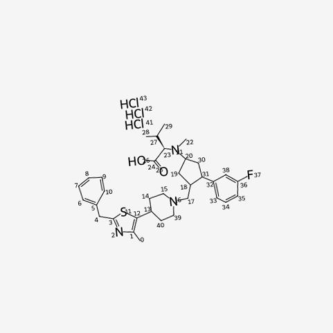 Cc1nc(Cc2ccccc2)sc1C1CCN(CC2CC(N(C)[C@@H](C(=O)O)C(C)C)CC2c2cccc(F)c2)CC1.Cl.Cl.Cl